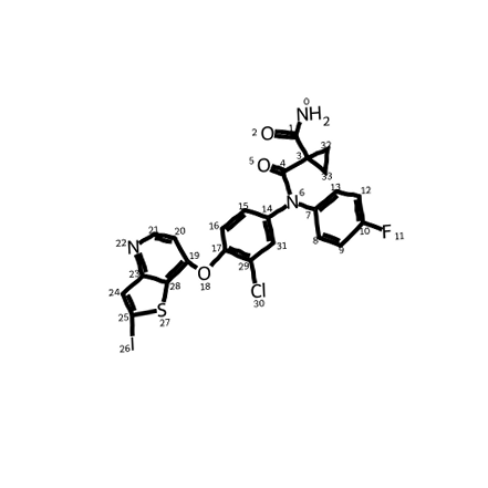 NC(=O)C1(C(=O)N(c2ccc(F)cc2)c2ccc(Oc3ccnc4cc(I)sc34)c(Cl)c2)CC1